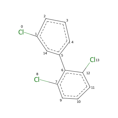 Clc1cc[c]c(-c2c(Cl)cccc2Cl)c1